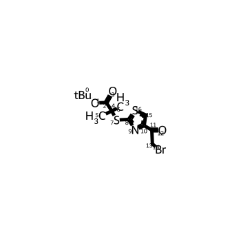 CC(C)(C)OC(=O)C(C)(C)Sc1nc(C(=O)CBr)cs1